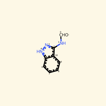 O=[C]Nc1n[nH]c2ccccc12